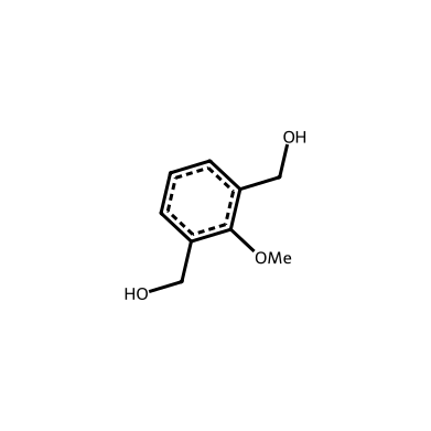 COc1c(CO)cccc1CO